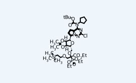 CCOC(=O)[C@@](COCC[Si](C)(C)C)(OC[C@H]1O[C@H](c2ccc3c(N(C(=O)OC(C)(C)C)C4CCCC4)nc(Cl)nn23)[C@@H]2OC(C)(C)O[C@@H]21)P(=O)(OCC)OCC